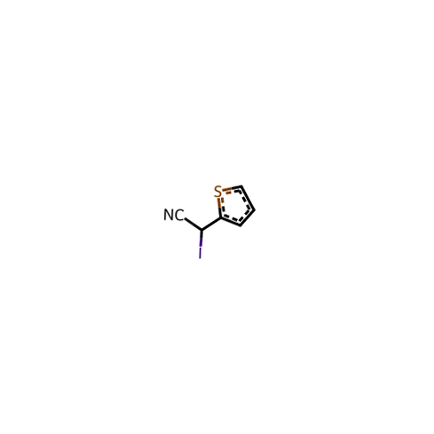 N#CC(I)c1cccs1